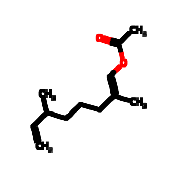 C=CC(C)CCCC(C)=COC(C)=O